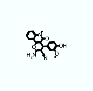 COc1cc(C2C(C#N)=C(N)Oc3c2c(=O)n(C)c2ccccc32)ccc1O